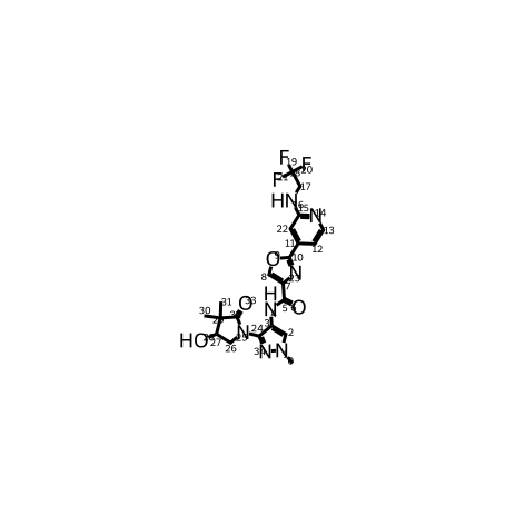 Cn1cc(NC(=O)c2coc(-c3ccnc(NCC(F)(F)F)c3)n2)c(N2CC(O)C(C)(C)C2=O)n1